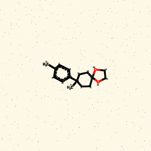 Cc1ccc(C2(C)CCC3(CC2)OCCO3)cc1